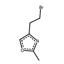 Cc1nc(CCBr)co1